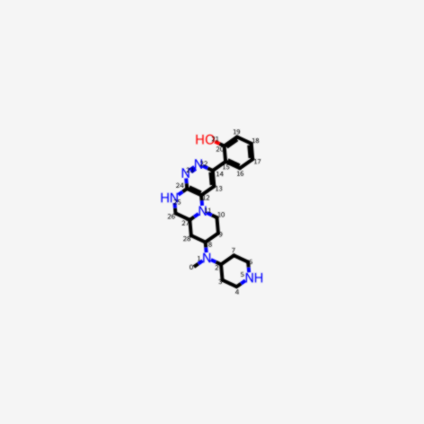 CN(C1CCNCC1)C1CCN2c3cc(-c4ccccc4O)nnc3NCC2C1